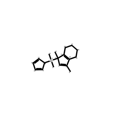 CC1=C[C](C)([Zr]([CH3])([CH3])[CH]2C=CC=C2)C2=C1CCCC2